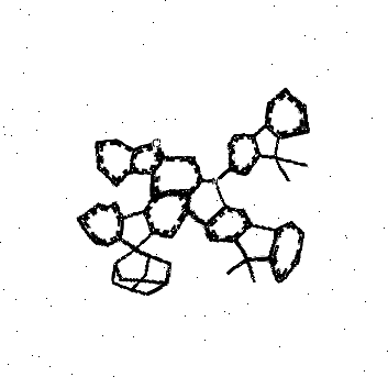 CC1(C)c2ccccc2-c2ccc(N(c3ccc4c(c3)oc3ccccc34)c3cc4c(cc3-c3ccc5c(c3)C3(c6ccccc6-5)C5CC6CC(C5)CC3C6)C(C)(C)c3ccccc3-4)cc21